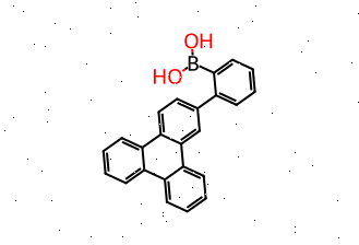 OB(O)c1ccccc1-c1ccc2c3ccccc3c3ccccc3c2c1